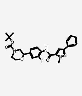 Cn1nc(-c2ccccc2)cc1C(=O)Nc1ccc(C2CN(C(=O)OC(C)(C)C)CCO2)cc1F